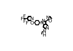 CCNc1cc2c(cn1)c(-c1ncco1)nn2[C@H]1CC[C@@H](Oc2nccc(C(F)(F)F)c2F)CC1